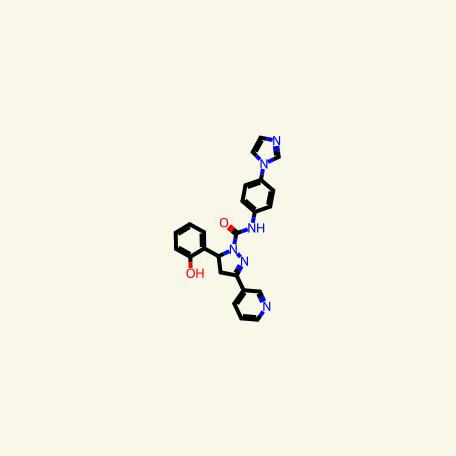 O=C(Nc1ccc(-n2ccnc2)cc1)N1N=C(c2cccnc2)CC1c1ccccc1O